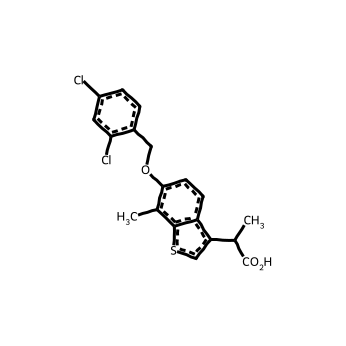 Cc1c(OCc2ccc(Cl)cc2Cl)ccc2c(C(C)C(=O)O)csc12